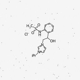 CC(C)[n+]1ccn(CC(O)c2ccccc2NS(C)(=O)=O)c1.[Cl-]